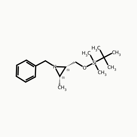 C[C@H]1[C@@H](CO[Si](C)(C)C(C)(C)C)N1Cc1ccccc1